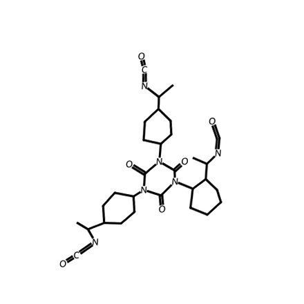 CC(N=C=O)C1CCC(n2c(=O)n(C3CCC(C(C)N=C=O)CC3)c(=O)n(C3CCCCC3C(C)N=C=O)c2=O)CC1